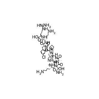 CN[C@@H](CCCCN)C(=O)N[C@H](C(=O)N[C@@H](C)C(=O)NCC(=O)N[C@H](CCCN)C(=O)N1CCC[C@H]1C(=O)N[C@@H](Cc1ccc(Cl)cc1)C(=O)N[C@@H](CCCCN)C(=O)N/C(=C\CCNC(=N)N)C(=O)O)[C@@H](O)CN